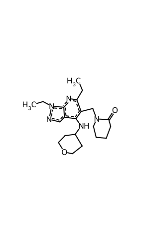 CCc1nc2c(cnn2CC)c(NC2CCOCC2)c1CN1CCCCC1=O